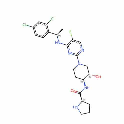 C[C@@H](Nc1nc(N2CC[C@H](NC(=O)[C@H]3CCCN3)[C@@H](O)C2)ncc1F)c1ccc(Cl)cc1Cl